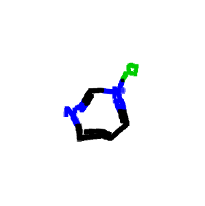 Cl[n+]1cccnc1